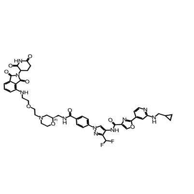 O=C1CCC(N2C(=O)c3cccc(NCCOCCN4CCO[C@H](CNC(=O)c5ccc(-n6cc(NC(=O)c7coc(-c8ccnc(NCC9CC9)c8)n7)c(C(F)F)n6)cc5)C4)c3C2=O)C(=O)N1